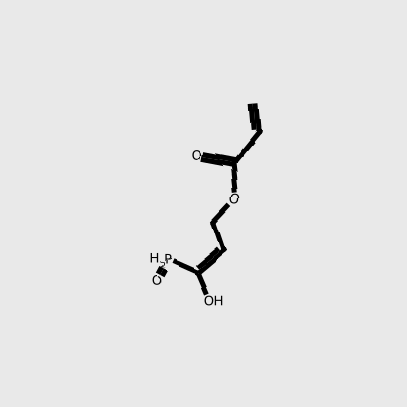 C=CC(=O)OCC=C(O)[PH2]=O